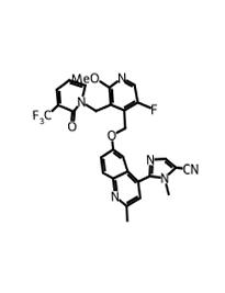 COc1ncc(F)c(COc2ccc3nc(C)cc(-c4ncc(C#N)n4C)c3c2)c1Cn1cccc(C(F)(F)F)c1=O